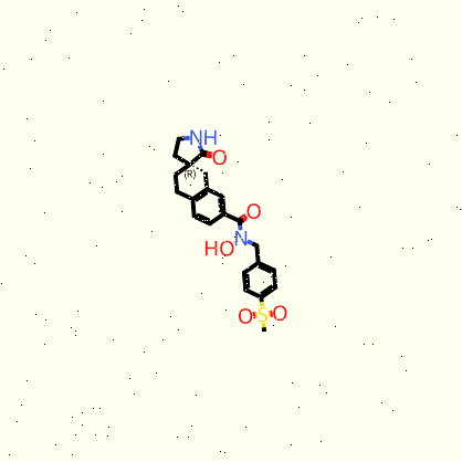 CS(=O)(=O)c1ccc(CN(O)C(=O)c2ccc3c(c2)C[C@@]2(CCNC2=O)CC3)cc1